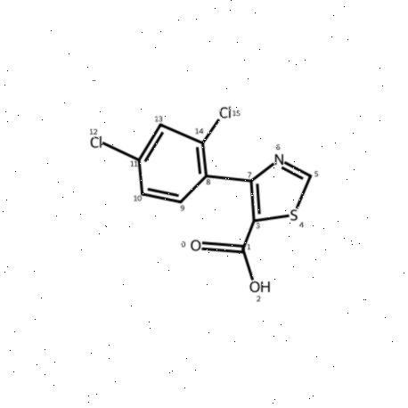 O=C(O)c1scnc1-c1ccc(Cl)cc1Cl